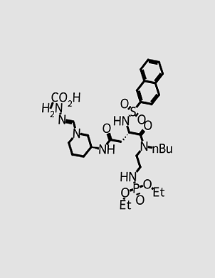 CC(=O)O.CCCCN(CCNP(=O)(OCC)OCC)C(=O)[C@H](CC(=O)N[C@H]1CCCN(C=NN)C1)NS(=O)(=O)c1ccc2ccccc2c1